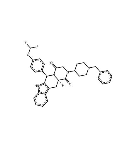 O=C1[C@H]2Cc3c([nH]c4ccccc34)[C@@H](c3ccc(OC(F)F)cc3)N2C(=O)CN1C1CCN(Cc2ccccc2)CC1